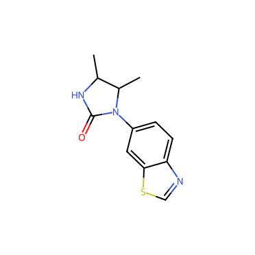 CC1NC(=O)N(c2ccc3ncsc3c2)C1C